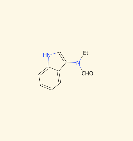 CCN([C]=O)c1c[nH]c2ccccc12